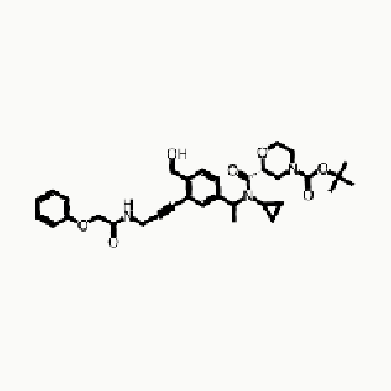 CC(c1ccc(CO)c(C#CCNC(=O)COc2ccccc2)c1)N(C(=O)[C@H]1CN(C(=O)OC(C)(C)C)CCO1)C1CC1